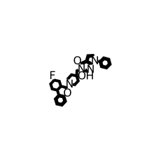 O=C(C1CC(F)CCC1c1ccccc1)N1CCC(O)(Cn2cnc3c(ccn3-c3ccccc3)c2=O)CC1